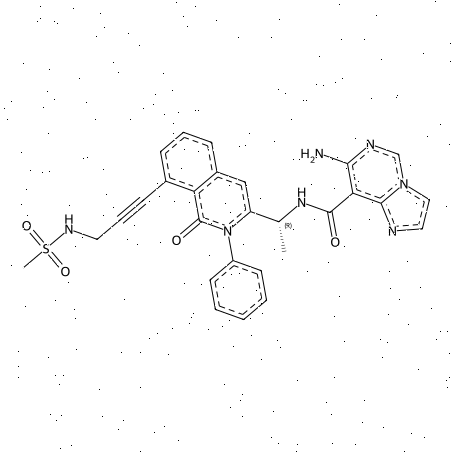 C[C@@H](NC(=O)c1c(N)ncn2ccnc12)c1cc2cccc(C#CCNS(C)(=O)=O)c2c(=O)n1-c1ccccc1